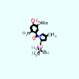 COc1cc(C(=O)N2C=C(C)C[C@H]2CO[Si](C)(C)C(C)(C)C)c([N+](=O)[O-])cc1O